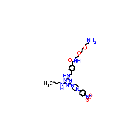 CCCCNc1nc(NCc2ccc(C(=O)NCCOCCOCCN)cc2)nc(N2CCN(c3ccc([N+](=O)[O-])cc3)CC2)n1